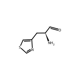 N[C@H]([C]=O)Cc1cscn1